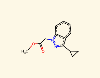 COC(=O)Cn1nc(C2CC2)c2ccccc21